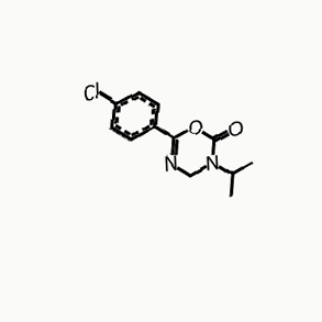 CC(C)N1CN=C(c2ccc(Cl)cc2)OC1=O